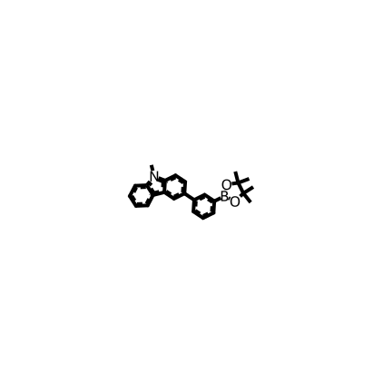 Cn1c2ccccc2c2cc(-c3cccc(B4OC(C)(C)C(C)(C)O4)c3)ccc21